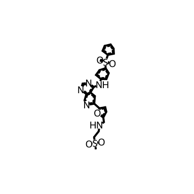 CS(=O)(=O)CCNCc1ccc(-c2cc3c(Nc4ccc(S(=O)(=O)c5ccccc5)cc4)ncnc3cn2)o1